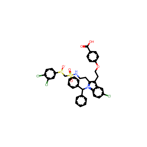 O=C(O)c1ccc(OCCc2c(CCNS(=O)(=O)C[S+]([O-])c3ccc(Cl)c(Cl)c3)n(C(c3ccccc3)c3ccccc3)c3ccc(Cl)cc23)cc1